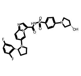 O=C(NS(=O)(=O)c1ccc(N2CC[C@H](O)C2)cc1)c1cnc2ccc(N3CCC[C@@H]3c3cc(F)ccc3F)cn12